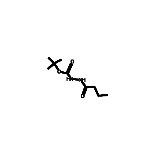 CCCC(=O)NNC(=O)OC(C)(C)C